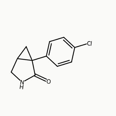 O=C1NCC2CC12c1ccc(Cl)cc1